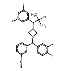 CC(C)(O)[C@H](c1cc(F)cc(F)c1)C1CN([C@H](c2cccc(C#N)c2)c2ccc(Cl)c(I)c2)C1